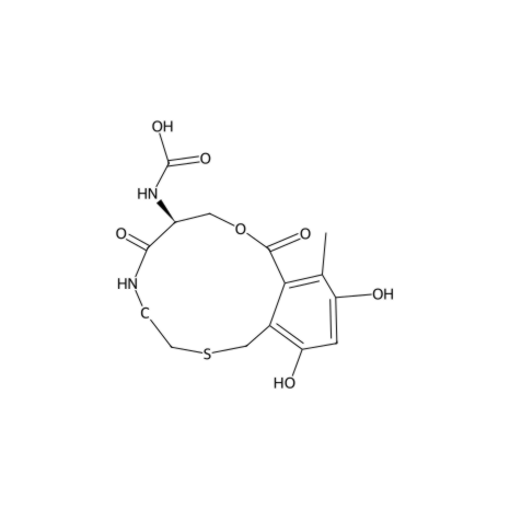 Cc1c(O)cc(O)c2c1C(=O)OC[C@H](NC(=O)O)C(=O)NCCSC2